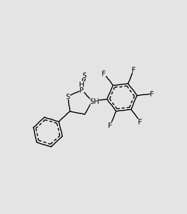 Fc1c(F)c(F)c([SH]2CC(c3ccccc3)S[PH]2=S)c(F)c1F